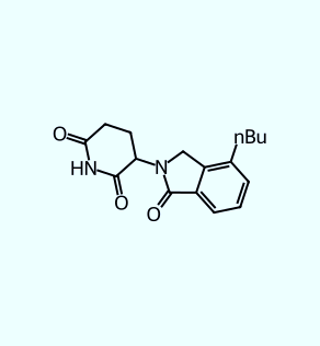 [CH2]CCCc1cccc2c1CN(C1CCC(=O)NC1=O)C2=O